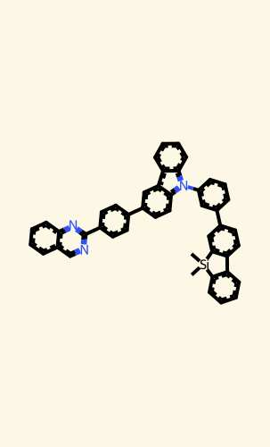 C[Si]1(C)c2ccccc2-c2ccc(-c3cccc(-n4c5ccccc5c5cc(-c6ccc(-c7ncc8ccccc8n7)cc6)ccc54)c3)cc21